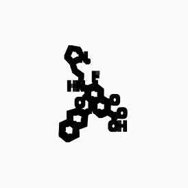 CN1CCCC1CCNc1c(F)cc2c(=O)c(C(=O)O)cn3c2c1Oc1cc2ccccc2cc1-3